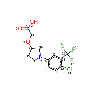 O=C(O)COC1CCN(c2ccc(Cl)c(C(F)(F)F)c2)C1